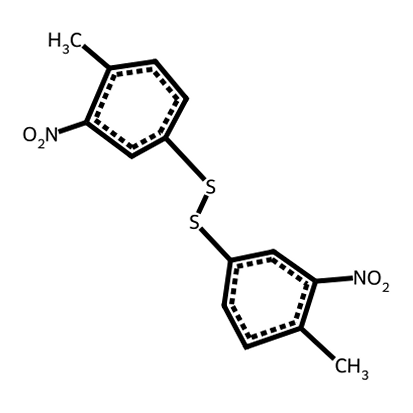 Cc1ccc(SSc2ccc(C)c([N+](=O)[O-])c2)cc1[N+](=O)[O-]